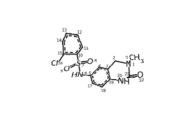 CN1Cc2cc(NS(=O)(=O)c3ccccc3Cl)ccc2NC1=O